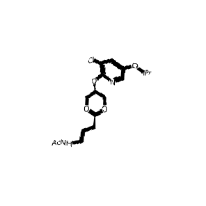 CC(=O)NCCC[C@H]1OC[C@@H](Oc2ncc(OC(C)C)cc2Cl)CO1